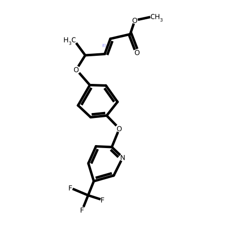 COC(=O)/C=C/C(C)Oc1ccc(Oc2ccc(C(F)(F)F)cn2)cc1